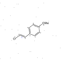 COc1ccc(/C=C/Cl)cc1